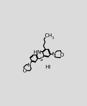 CCCCc1cc(N2CCOCC2)cc2c1Nc1ccc(N3CCOCC3)cc1S2.I